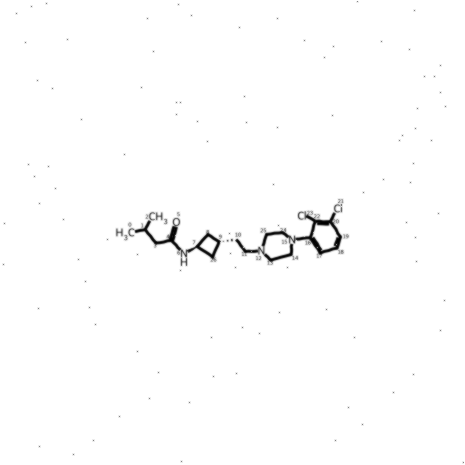 CC(C)CC(=O)N[C@H]1C[C@H](CCN2CCN(c3cccc(Cl)c3Cl)CC2)C1